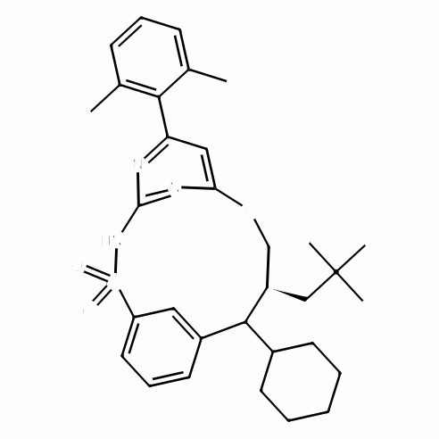 Cc1cccc(C)c1-c1cc2nc(n1)NS(=O)(=O)c1cccc(c1)C(C1CCCCC1)[C@H](CC(C)(C)C)CO2